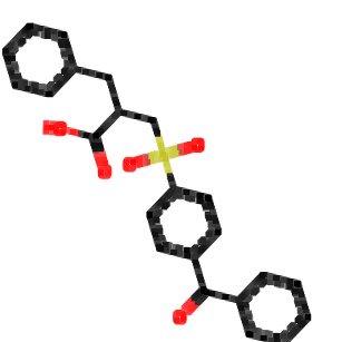 O=C(c1ccccc1)c1ccc(S(=O)(=O)CC(Cc2ccccc2)C(=O)O)cc1